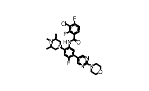 CC1CN(c2cc(F)c(-c3cnc(N4CCOCC4)nc3)cc2NC(=O)c2ccc(F)c(Cl)c2F)CC(C)N1C